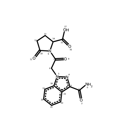 NC(=O)c1nn(CC(=O)N2C(=O)CCC2C(=O)O)c2ccccc12